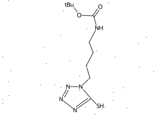 CC(C)(C)OC(=O)NCCCCn1nnnc1S